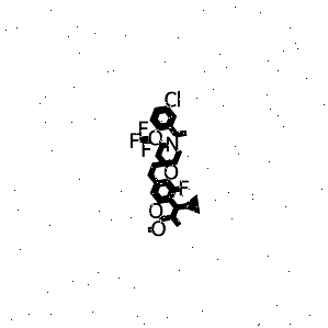 COC(=O)C(C)C(c1ccc2c(c1F)OC1(CC2)CCN(C(C)c2cc(Cl)ccc2OC(F)(F)F)CC1)C1CC1